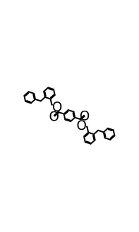 O=C(OCc1ccccc1Cc1ccccc1)c1ccc(C(=O)OCc2ccccc2Cc2ccccc2)cc1